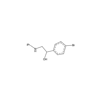 CC(C)NCC(O)c1ccc(Br)cc1